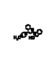 CN1CCN(c2cc(-n3c(O)cc4ccccc43)nc3ccccc23)CC1